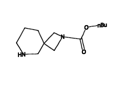 CCCCOC(=O)N1CC2(CCCNC2)C1